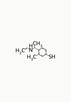 C=CNC(C)c1ccc(S)cc1C